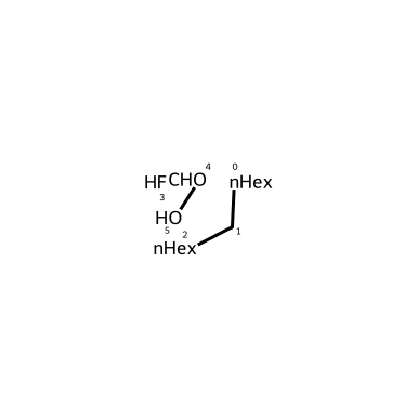 CCCCCCCCCCCCC.F.O=CO